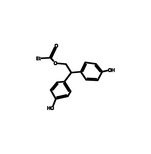 CCC(=O)OCC(c1ccc(O)cc1)c1ccc(O)cc1